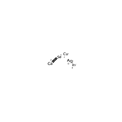 [Ag].[Cu].[Ga]=[Se].[In]